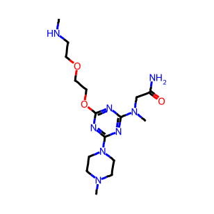 CNCCOCCOc1nc(N(C)CC(N)=O)nc(N2CCN(C)CC2)n1